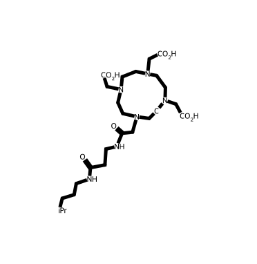 CC(C)CCCNC(=O)CCNC(=O)CN1CCN(CC(=O)O)CCN(CC(=O)O)CCN(CC(=O)O)CC1